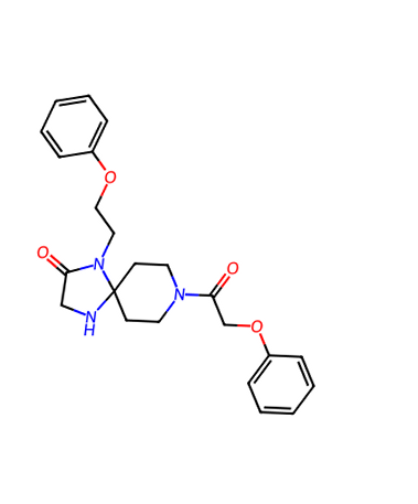 O=C(COc1ccccc1)N1CCC2(CC1)NCC(=O)N2CCOc1ccccc1